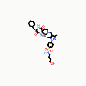 CCCCN1C(=O)[C@H](CC2CCCCC2)NC(=O)C12CCN(Cc1c(C)nn(-c3ccc(S(=O)(=O)NCCCCO)cc3)c1C)CC2